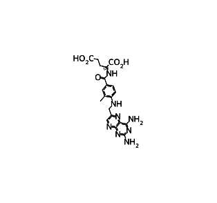 Cc1cc(C(=O)N[C@@H](CCC(=O)O)C(=O)O)ccc1NCc1cnc2nc(N)nc(N)c2n1